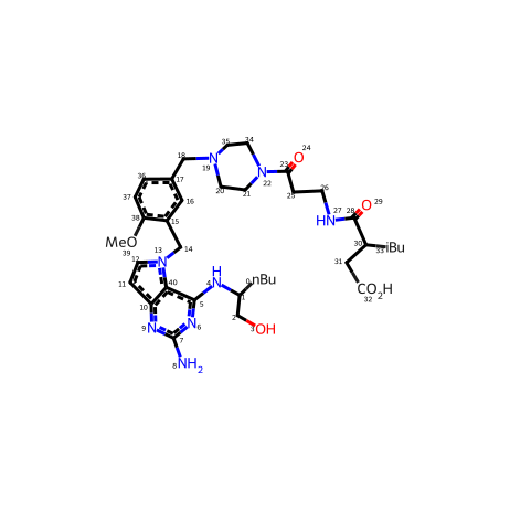 CCCCC(CO)Nc1nc(N)nc2ccn(Cc3cc(CN4CCN(C(=O)CCNC(=O)C(CC(=O)O)C(C)CC)CC4)ccc3OC)c12